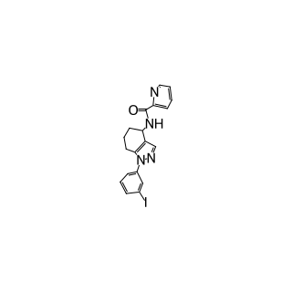 O=C(NC1CCCc2c1cnn2-c1cccc(I)c1)c1ccccn1